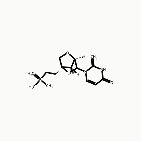 C=C1NC(=O)C=CN1C1O[C@@]2(CCP(=C)(C)C)CO[C@@H]1[C@@H]2O